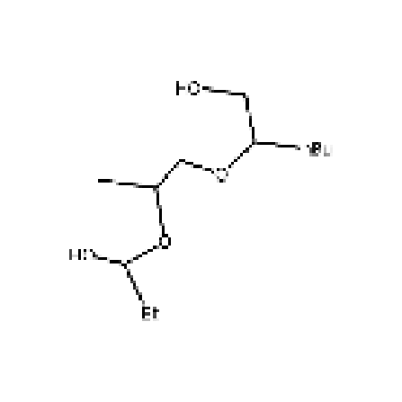 CCCCC(CO)OCC(C)OC(O)CC